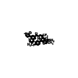 Cc1cnc2c(N3CCNC3=O)cc(C(=O)NCC(c3cc4c(c(-c5ccc(F)cc5)n3)OC[C@]4(C)C(N)=O)C(F)(F)F)cc2c1